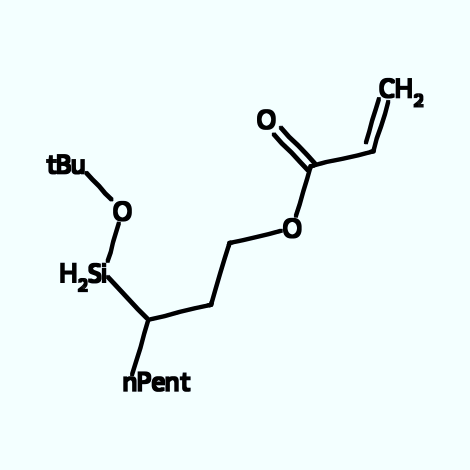 C=CC(=O)OCCC(CCCCC)[SiH2]OC(C)(C)C